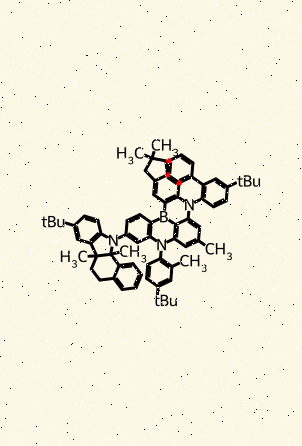 Cc1cc2c3c(c1)N(c1ccc(C(C)(C)C)cc1-c1ccccc1)c1cc4c(cc1B3c1ccc(N3c5ccc(C(C)(C)C)cc5C5(C)CCc6ccccc6C35C)cc1N2c1ccc(C(C)(C)C)cc1C)CC(C)(C)C4